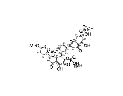 COc1ccc(-c2cc(=O)c3c(O)cc(OP(=O)(O)O)c(-c4cc(-c5cc(=O)c6c(O)cc(OP(=O)(O)O)cc6o5)ccc4OC)c3o2)cc1.[NaH]